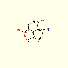 Nc1ccc(C(=O)O)c2c(C(=O)O)ccc(N)c12